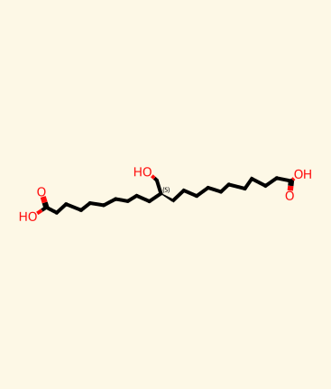 O=C(O)CCCCCCCCCC[C@H](CO)CCCCCCCCCC(=O)O